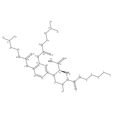 CCCCCOC(=O)OC(C)CC(c1ccc(OC(=O)OCCC(C)C)c(OC(=O)OCCC(C)C)c1)[C@H](N)C(=O)O